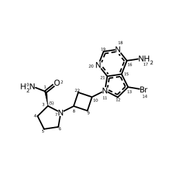 NC(=O)[C@@H]1CCCN1C1CC(n2cc(Br)c3c(N)ncnc32)C1